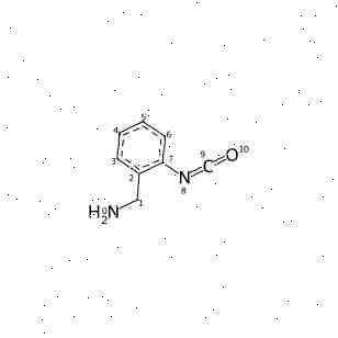 NCc1ccccc1N=C=O